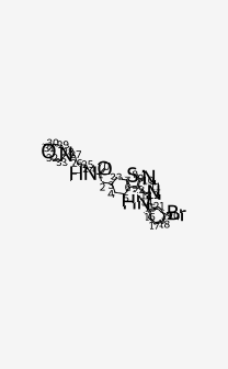 O=C(CC1CCc2c(sc3ncnc(Nc4cccc(Br)c4)c23)C1)NCCCN1CCOCC1